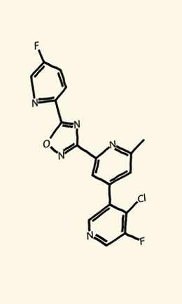 Cc1cc(-c2cncc(F)c2Cl)cc(-c2noc(-c3ccc(F)cn3)n2)n1